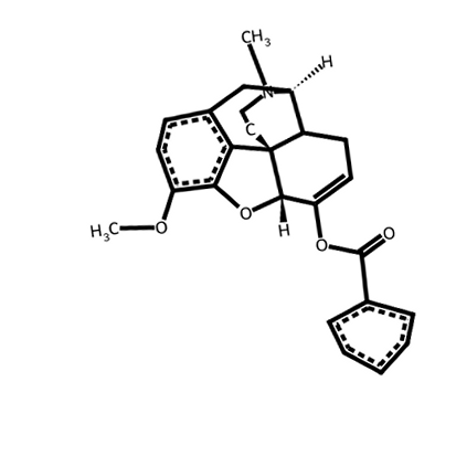 COc1ccc2c3c1O[C@H]1C(OC(=O)c4ccccc4)=CCC4[C@H](C2)N(C)CC[C@@]341